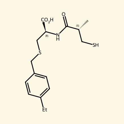 CCc1ccc(CSC[C@H](NC(=O)[C@H](C)CS)C(=O)O)cc1